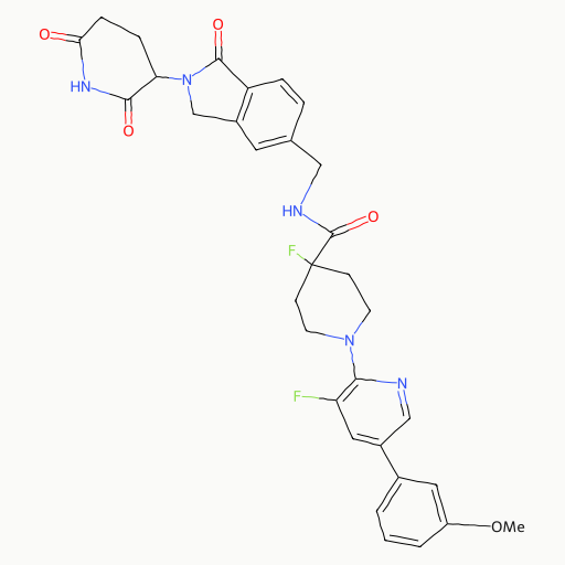 COc1cccc(-c2cnc(N3CCC(F)(C(=O)NCc4ccc5c(c4)CN(C4CCC(=O)NC4=O)C5=O)CC3)c(F)c2)c1